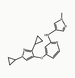 Cn1cc(Nc2cc(Oc3cn(C4CC4)nc3C3CC3)ccn2)cn1